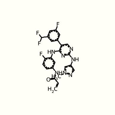 C=CC(=O)Nc1ccc(F)c(Nc2nc(Nc3cnn(C)c3)ncc2-c2cc(F)cc(C(F)F)c2)c1